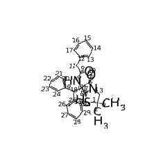 CC1(C)CN2C(=O)[C@](NC(=O)Cc3ccccc3)(C(c3ccccc3)c3ccccc3)[C@@H]2S1